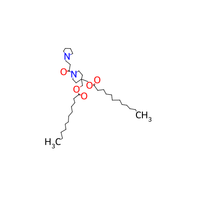 CCCCCCCCCCCC(=O)OCC1(COC(=O)CCCCCCCCCCC)CCN(C(=O)CCN2CCCC2)CC1